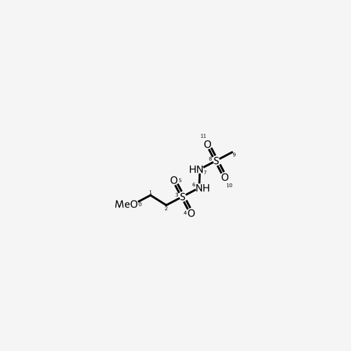 COCCS(=O)(=O)NNS(C)(=O)=O